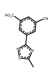 Cc1nc(-c2cc(C#N)cc(C(=O)O)c2)no1